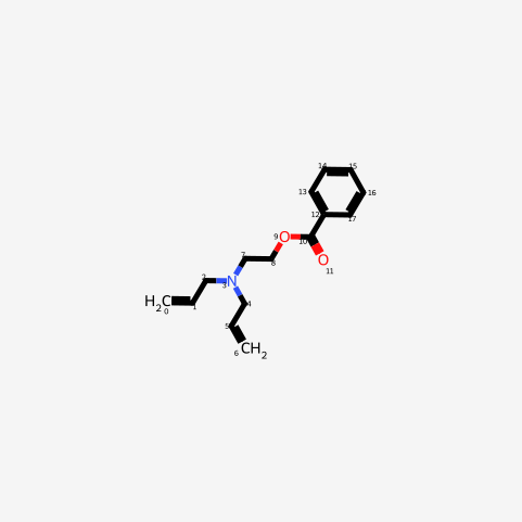 C=CCN(CC=C)CCOC(=O)c1ccccc1